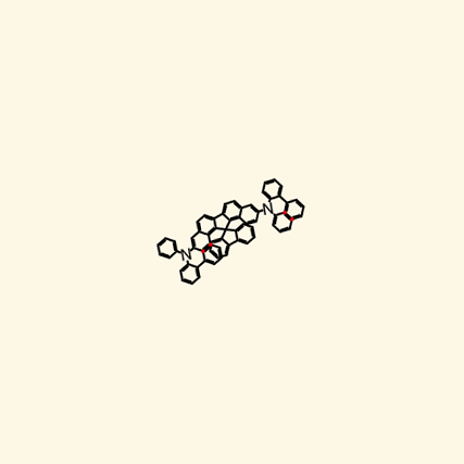 c1ccc(-c2ccccc2N(c2ccccc2)c2ccc3c4c(ccc3c2)-c2ccc3cc(N(c5ccccc5)c5ccccc5-c5ccccc5)ccc3c2C42c3ccccc3-c3ccccc32)cc1